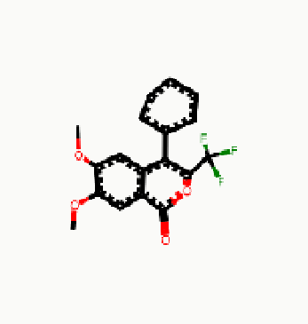 COc1cc2c(-c3ccccc3)c(C(F)(F)F)oc(=O)c2cc1OC